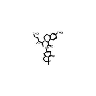 CCOc1ccc2c(c1)CCN(C(=O)[C@@H](C)CCC=O)C2C(=O)Nc1cc(F)c2c(c1)CCC2(C)C